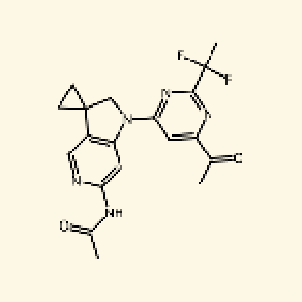 CC(=O)Nc1cc2c(cn1)C1(CC1)CN2c1cc(C(C)=O)nc(C(C)(F)F)n1